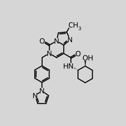 Cc1cn2c(=O)n(Cc3ccc(-n4cccn4)cc3)cc(C(=O)N[C@H]3CCCC[C@@H]3O)c2n1